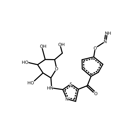 N=NOc1ccc(C(=O)c2cnc(NC3OC(CO)C(O)C(O)C3O)s2)cc1